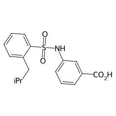 CC(C)Cc1ccccc1S(=O)(=O)Nc1cccc(C(=O)O)c1